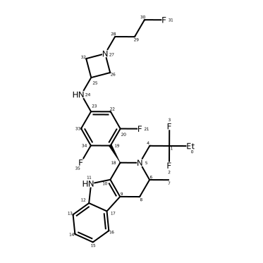 CCC(F)(F)CN1C(C)Cc2c([nH]c3ccccc23)[C@H]1c1c(F)cc(NC2CN(CCCF)C2)cc1F